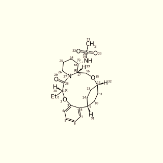 CC[C@H]1Oc2ccccc2[C@H]2CC[C@H](CC2)OC[C@H]2[C@@H](NS(C)(=O)=O)CCCN2C1=O